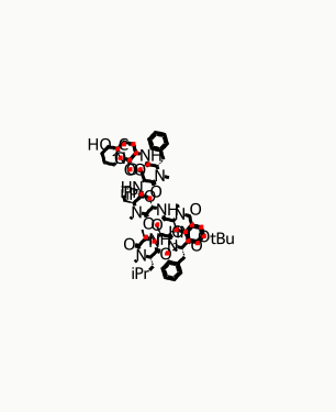 CC(C)C[C@H](NC(=O)[C@H](Cc1ccccc1)N(C)C(=O)[C@H](COC(C)(C)C)NC(=O)[C@H](Cc1ccccc1)N(C)C(=O)[C@H](C)N(C)C(=O)[C@H](CC(C)C)N(C)C(=O)[C@@H](C)N)C(=O)N(C)[C@@H](CC(C)C)C(=O)N[C@H](C(=O)N(C)[C@@H](Cc1ccccc1)C(=O)NC(CC(=O)O)C(=O)N1CCCCC1)[C@@H](C)OC1CCCCO1